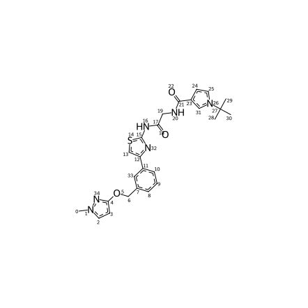 Cn1ccc(OCc2cccc(-c3csc(NC(=O)CNC(=O)c4ccn(C(C)(C)C)c4)n3)c2)n1